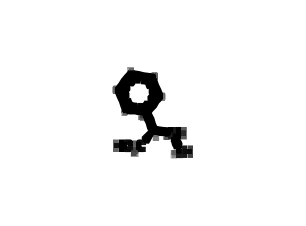 O=C(O)[C@H](NS)c1ccccc1